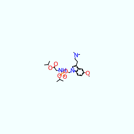 COc1ccc2c(c1)c(CCN(C)C)cn2COP(=O)(NCC(=O)OC(C)C)OC(C)C